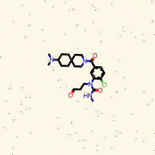 CNC(=O)N(CCC=O)c1cc(C(=O)N2CCC3(CCC(N(C)C)CC3)CC2)ccc1Cl